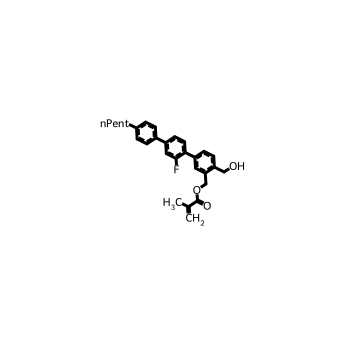 C=C(C)C(=O)OCc1cc(-c2ccc(-c3ccc(CCCCC)cc3)cc2F)ccc1CO